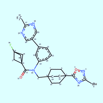 CC(C)(C)c1noc(C23CCC(CN(C(=O)C45CC(F)(C4)C5)c4cccc(-c5cnc(C(F)(F)F)nc5)c4)(CC2)CC3)n1